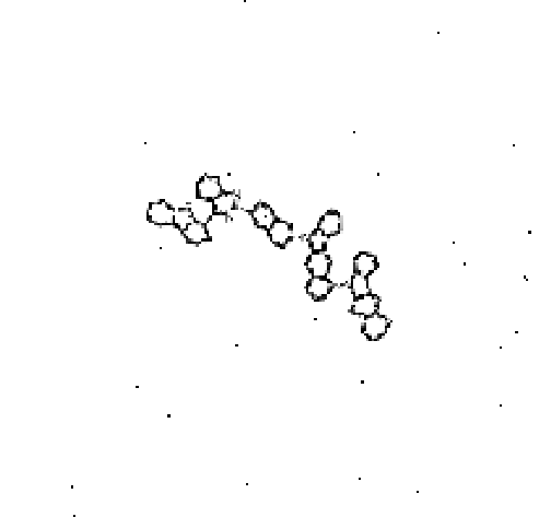 c1ccc2cc3c(cc2c1)c1ccccc1n3-c1cccc2cc3c(cc12)c1ccccc1n3-c1ccc2cc(-c3nc(-c4cccc5c4sc4ccccc45)c4ccccc4n3)ccc2c1